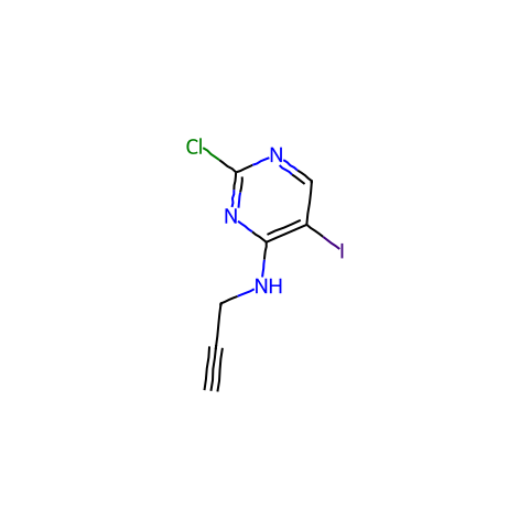 C#CCNc1nc(Cl)ncc1I